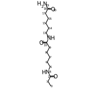 CCC(=O)NCCCCCC(=O)NCCCCCC(N)=O